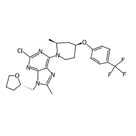 Cc1nc2c(N3CC[C@H](Oc4ccc(C(F)(F)F)cc4)C[C@@H]3C)nc(Cl)nc2n1C[C@@H]1CCCO1